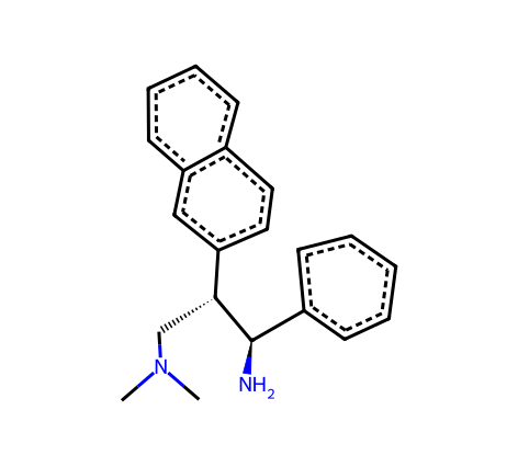 CN(C)C[C@H](c1ccc2ccccc2c1)[C@H](N)c1ccccc1